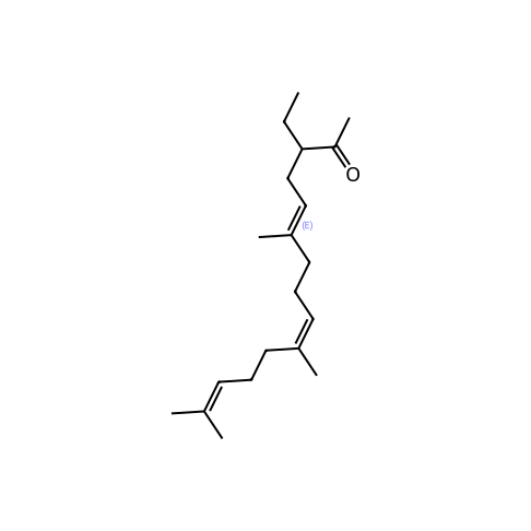 CCC(C/C=C(\C)CCC=C(C)CCC=C(C)C)C(C)=O